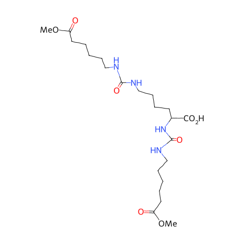 COC(=O)CCCCCNC(=O)NCCCCC(NC(=O)NCCCCCC(=O)OC)C(=O)O